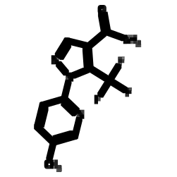 Cc1ccc(-n2ncc(C(N)=O)c2C(F)(F)F)nc1